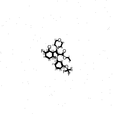 CCOC(=O)c1c(N2CCOCC2)c2c(Cl)c(F)ccc2n1-c1cccc(OC(F)(F)F)c1